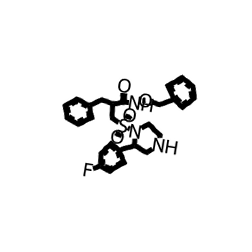 O=C(NOCc1ccccc1)C(Cc1ccccc1)CS(=O)(=O)N1CCNCC1c1ccc(F)cc1